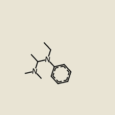 CCN(c1ccccc1)C(C)N(C)C